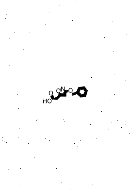 O=C(O)Cc1cc(OCc2ccccc2)no1